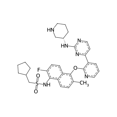 Cc1ccc2c(NS(=O)(=O)CC3CCCC3)c(F)ccc2c1Oc1ncccc1-c1ccnc(N[C@H]2CCCNC2)n1